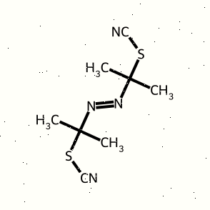 CC(C)(/N=N/C(C)(C)SC#N)SC#N